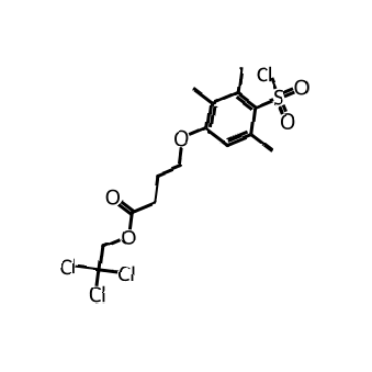 Cc1cc(OCCCC(=O)OCC(Cl)(Cl)Cl)c(C)c(C)c1S(=O)(=O)Cl